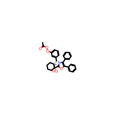 CC(=O)OOc1cccc(C[C@H]2CCCC[C@]2(O)c2nc(-c3ccccc3)c(-c3ccccc3)o2)c1